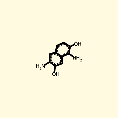 Nc1cc2ccc(O)c(N)c2cc1O